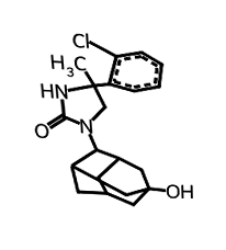 CC1(c2ccccc2Cl)CN(C2C3CC4CC2CC(O)(C4)C3)C(=O)N1